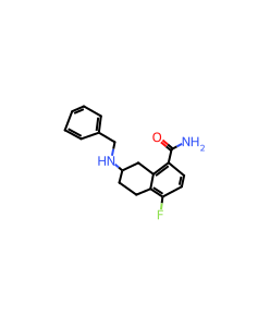 NC(=O)c1ccc(F)c2c1CC(NCc1ccccc1)CC2